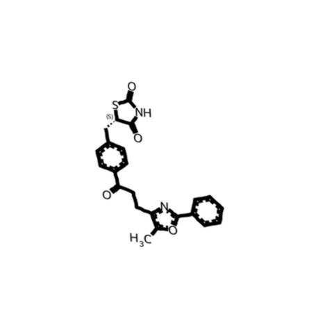 Cc1oc(-c2ccccc2)nc1CCC(=O)c1ccc(C[C@@H]2SC(=O)NC2=O)cc1